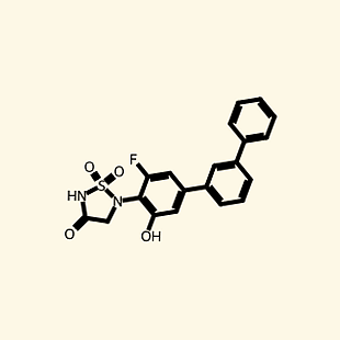 O=C1CN(c2c(O)cc(-c3cccc(-c4ccccc4)c3)cc2F)S(=O)(=O)N1